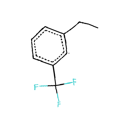 CCc1[c]c(C(F)(F)F)ccc1